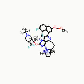 [2H]C([2H])([2H])N1CC[C@H](C(F)F)[C@](C)(C([2H])([2H])Oc2nc3c4c(nc(-c5cc(OCOC)cc6ccc(F)c(C#C)c56)c(F)c4n2)CCC[C@@H]2[C@@H]4CC[C@H](CN32)N4)C1